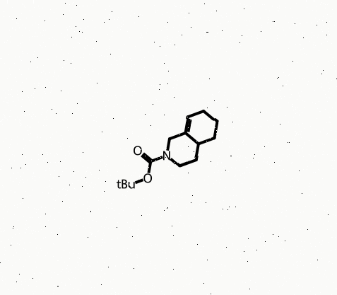 CC(C)(C)OC(=O)N1CCC2CCCC=C2C1